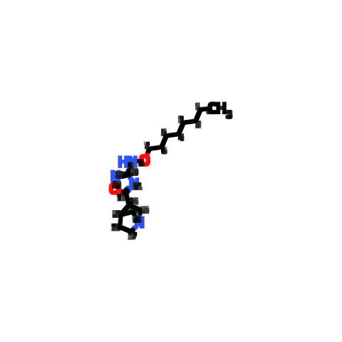 CCCCCCCCONc1noc(C2CN3CCC2C3)n1